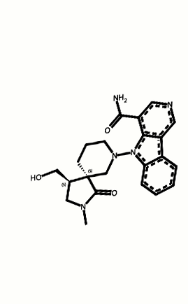 CN1C[C@@H](CO)[C@]2(CCCN(n3c4ccccc4c4cncc(C(N)=O)c43)C2)C1=O